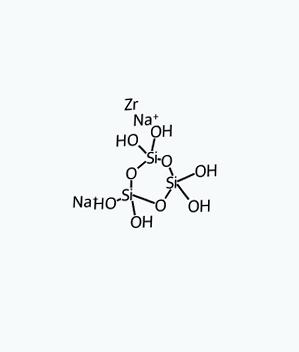 O[Si]1(O)O[Si](O)(O)O[Si](O)(O)O1.[Na+].[Na+].[Zr]